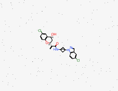 C=C(C(=O)NC12CC(n3ncc4cc(Cl)ccc43)(C1)C2)[C@H]1C[C@@H](O)c2cc(Cl)ccc2O1